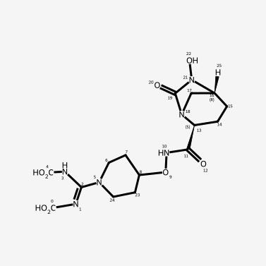 O=C(O)N=C(NC(=O)O)N1CCC(ONC(=O)[C@@H]2CC[C@@H]3CN2C(=O)N3O)CC1